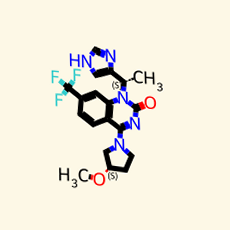 CO[C@H]1CCN(c2nc(=O)n([C@@H](C)c3c[nH]cn3)c3cc(C(F)(F)F)ccc23)C1